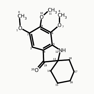 COc1cc2c(c(OC)c1OC)NC1(CCCCC1)C2=O